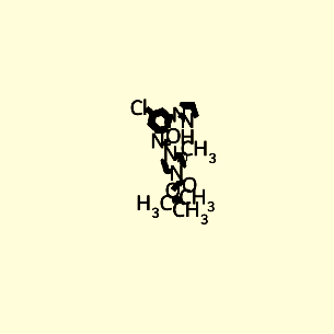 C[C@H]1CN(C(=O)OC(C)(C)C)CCN1c1nc2cc(Cl)cc(N3C=CCN3)c2o1